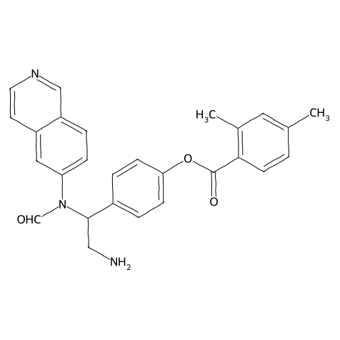 Cc1ccc(C(=O)Oc2ccc(C(CN)N(C=O)c3ccc4cnccc4c3)cc2)c(C)c1